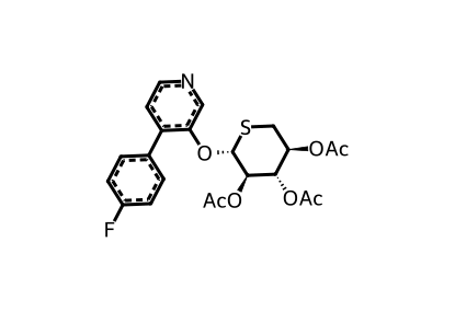 CC(=O)O[C@@H]1[C@@H](OC(C)=O)[C@H](OC(C)=O)CS[C@H]1Oc1cnccc1-c1ccc(F)cc1